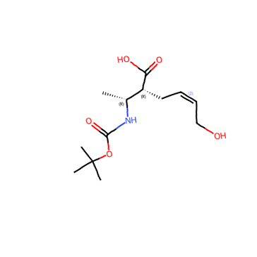 C[C@@H](NC(=O)OC(C)(C)C)[C@@H](C/C=C\CO)C(=O)O